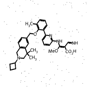 CO/C(Nc1cccc(-c2cccc(C)c2OCc2ccc3c(c2)C(C)(C)CN(C2CCC2)C3)n1)=C(/C=N)C(=O)O